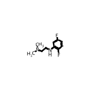 CN(C)CCNc1cc(F)c[c]c1F